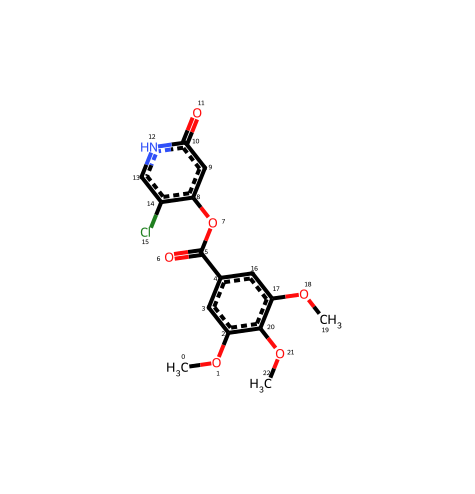 COc1cc(C(=O)Oc2cc(=O)[nH]cc2Cl)cc(OC)c1OC